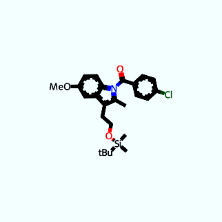 COc1ccc2c(c1)c(CCO[Si](C)(C)C(C)(C)C)c(C)n2C(=O)c1ccc(Cl)cc1